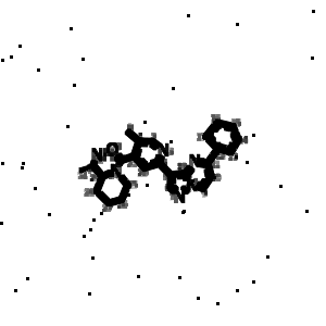 Cc1cnc(-c2cnn3ccc(-c4ccccc4)nc23)cc1C(=O)N1CCCCC1[C@@H](C)N